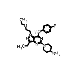 CCOCCn1nc(CC)c2nc(N3CCC(N)CC3)nc(Nc3ccc(F)cc3)c21